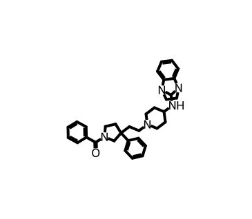 O=C(c1ccccc1)N1CCC(CCN2CCC(NC3N4CCN3c3ccccc34)CC2)(c2ccccc2)C1